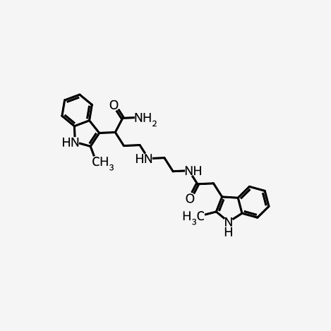 Cc1[nH]c2ccccc2c1CC(=O)NCCNCCC(C(N)=O)c1c(C)[nH]c2ccccc12